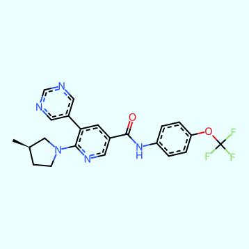 C[C@@H]1CCN(c2ncc(C(=O)Nc3ccc(OC(F)(F)F)cc3)cc2-c2cncnc2)C1